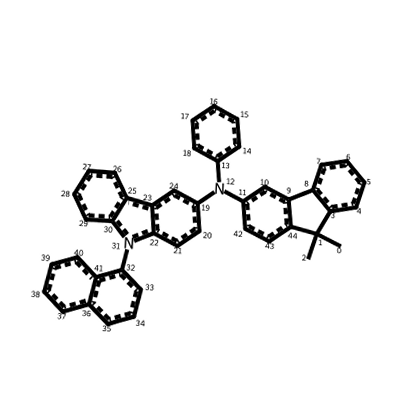 CC1(C)c2ccccc2-c2cc(N(c3ccccc3)c3ccc4c(c3)c3ccccc3n4-c3cccc4ccccc34)ccc21